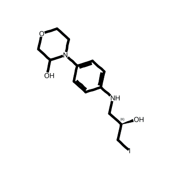 OC1COCCN1c1ccc(NC[C@@H](O)CI)cc1